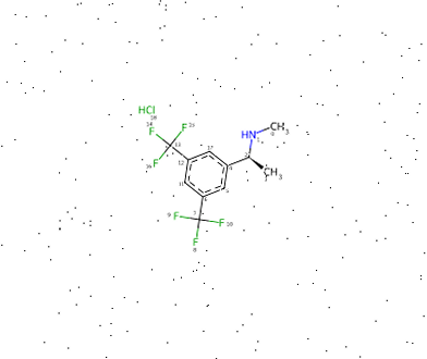 CN[C@@H](C)c1cc(C(F)(F)F)cc(C(F)(F)F)c1.Cl